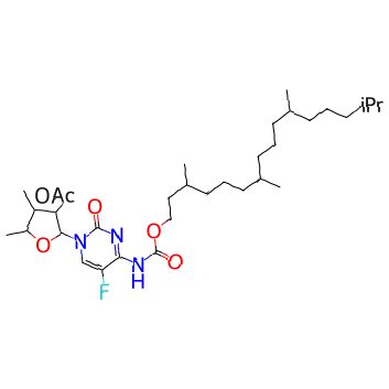 CC(=O)OC1C(C)C(C)OC1n1cc(F)c(NC(=O)OCCC(C)CCCC(C)CCCC(C)CCCC(C)C)nc1=O